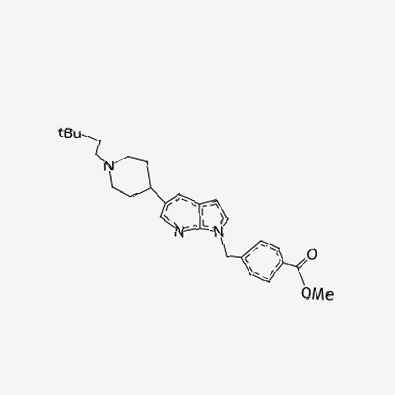 COC(=O)c1ccc(Cn2ccc3cc(C4CCN(CCC(C)(C)C)CC4)cnc32)cc1